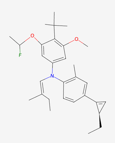 CC/C(C)=C\N(c1cc(OC)c(C(C)(C)C)c(OC(C)F)c1)c1ccc(C2=C[C@H]2CC)cc1C